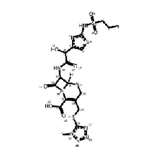 CCCS(=O)(=O)Nc1nc(C(O)C(=O)NC2C(=O)N3C(C(=O)O)=C(CSc4nnnn4C)CS[C@@H]23)cs1